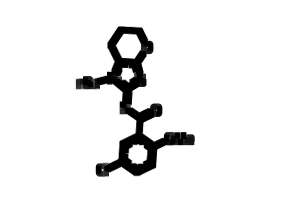 CCCCn1c2c(s/c1=N\C(=O)c1cc(Cl)ccc1OC)OCCC2